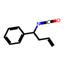 C=CCC(N=C=O)c1ccccc1